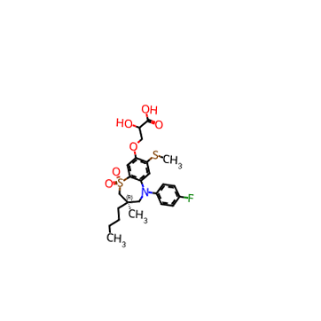 CCCC[C@]1(C)CN(c2ccc(F)cc2)c2cc(SC)c(OCC(O)C(=O)O)cc2S(=O)(=O)C1